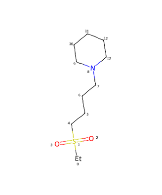 CCS(=O)(=O)CCCCN1CCCCC1